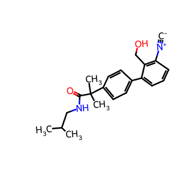 [C-]#[N+]c1cccc(-c2ccc(C(C)(C)C(=O)NCC(C)C)cc2)c1CO